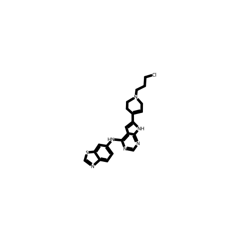 ClCCCN1CC=C(c2cc3c(Nc4ccc5ncsc5c4)ncnc3[nH]2)CC1